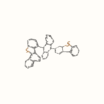 C1=C(c2c3ccccc3c(-c3cccc4sc5c6ccccc6ccc5c34)c3ccccc23)CC2Sc3ccccc3C2=C1